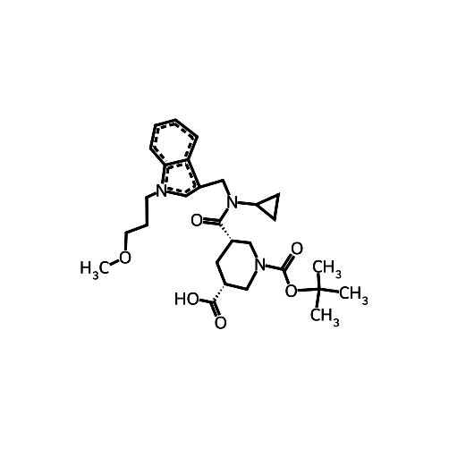 COCCCn1cc(CN(C(=O)[C@H]2C[C@@H](C(=O)O)CN(C(=O)OC(C)(C)C)C2)C2CC2)c2ccccc21